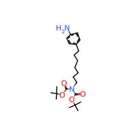 CC(C)(C)OC(=O)N(CCCCCCCc1ccc(N)cc1)C(=O)OC(C)(C)C